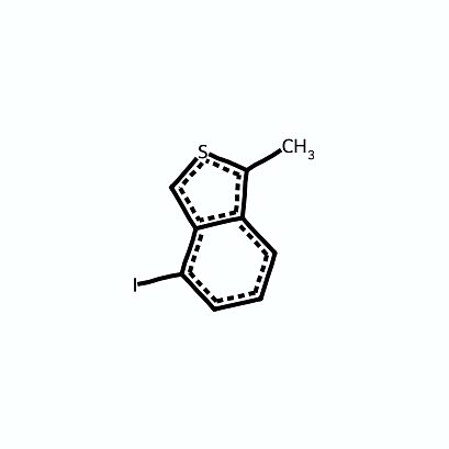 Cc1scc2c(I)cccc12